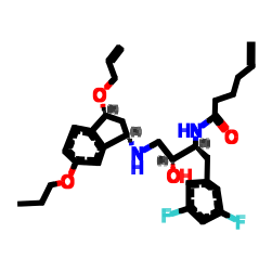 C=CCCCC(=O)N[C@@H](Cc1cc(F)cc(F)c1)[C@H](O)CN[C@H]1C[C@@H](OCC=C)c2ccc(OCCC)cc21